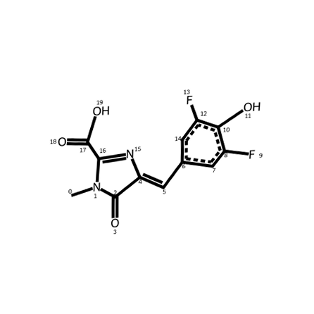 CN1C(=O)C(=Cc2cc(F)c(O)c(F)c2)N=C1C(=O)O